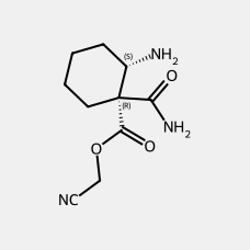 N#CCOC(=O)[C@]1(C(N)=O)CCCC[C@@H]1N